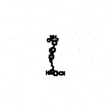 N#Cc1ccc2[nH]cc(CCCCN3CCN(c4ccc(-c5cccc(C(N)=O)c5)cn4)CC3)c2c1